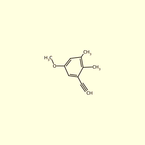 C#Cc1cc(OC)cc(C)c1C